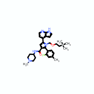 Cc1ccc(-c2c(C(=O)NC3CCN(C)CC3)cc(-c3ccnc4[nH]ccc34)n2COCC[Si](C)(C)C)c(F)c1